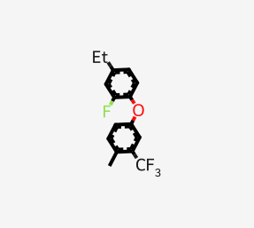 CCc1ccc(Oc2ccc(C)c(C(F)(F)F)c2)c(F)c1